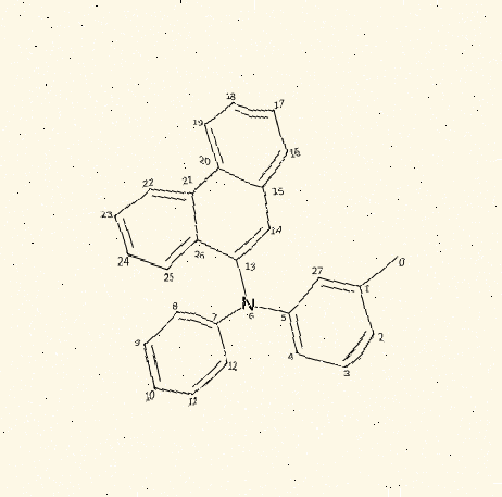 Cc1cccc(N(c2ccccc2)c2cc3ccccc3c3ccccc23)c1